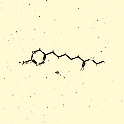 Br.CCOC(=O)CCCCCC1=NN=C(N)SC1